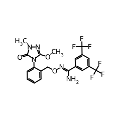 COc1nn(C)c(=O)n1-c1ccccc1CO/N=C(\N)c1cc(C(F)(F)F)cc(C(F)(F)F)c1